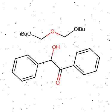 CC(C)COCOCOCC(C)C.O=C(c1ccccc1)C(O)c1ccccc1